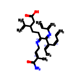 C=C\C=C/C(=C\C)C(=N/C(=C)C=C)/C(CCC(CC(=O)O)C(=C)C)=N\C/C=C(\C)C(N)=O